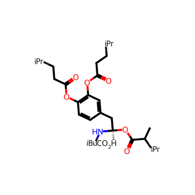 CCC(C)N[C@@](Cc1ccc(OC(=O)CCC(C)C)c(OC(=O)CCC(C)C)c1)(OC(=O)C(C)C(C)C)C(=O)O